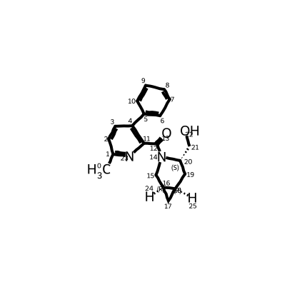 Cc1ccc(-c2ccccc2)c(C(=O)N2C[C@@H]3C[C@@H]3C[C@H]2CO)n1